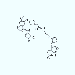 COc1cc2ncnc(Nc3ccc(F)c(Cl)c3)c2cc1OC1CCN(CC(=O)NCCCCSc2cccc3c2CN(C2CCC(=O)NC2=O)C3=O)CC1